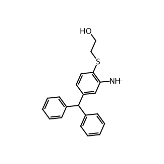 [NH]c1cc(C(c2ccccc2)c2ccccc2)ccc1SCCO